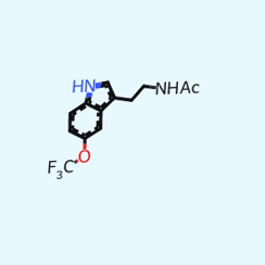 CC(=O)NCCc1c[nH]c2ccc(OC(F)(F)F)cc12